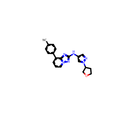 N#Cc1ccc(-c2cccn3nc(Nc4cnn(C5CCOC5)c4)nc23)cc1